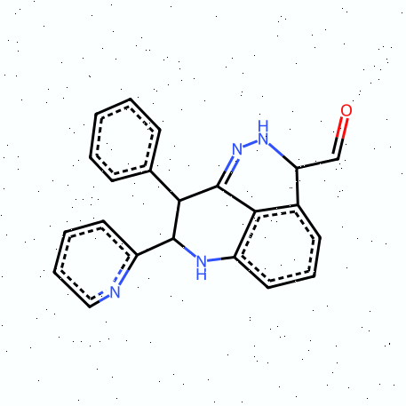 O=CC1NN=C2c3c(cccc31)NC(c1ccccn1)C2c1ccccc1